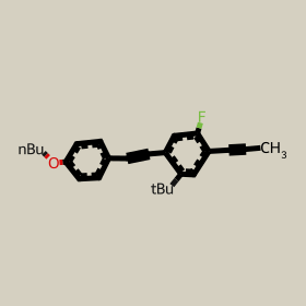 CC#Cc1cc(C(C)(C)C)c(C#Cc2ccc(OCCCC)cc2)cc1F